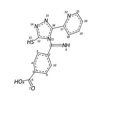 N=C(c1ccc(C(=O)O)cc1)n1c(S)nnc1-c1ccccn1